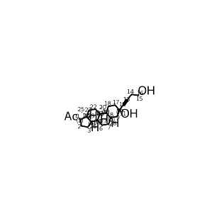 CC(=O)[C@H]1CC[C@H]2[C@@H]3CC[C@H]4C[C@@](O)(C#CCCO)CC[C@]4(C)[C@H]3CC[C@]12C